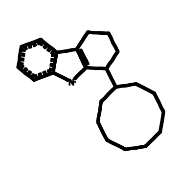 c1ccc2c(c1)[N]C1=C2CCCC1C1CCCCCCCCC1